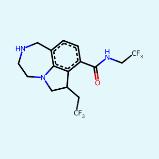 O=C(NCC(F)(F)F)c1ccc2c3c1C(CC(F)(F)F)CN3CCNC2